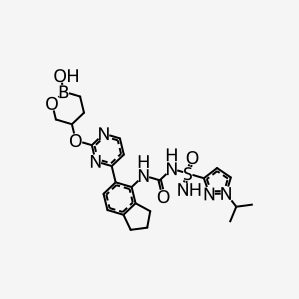 CC(C)n1ccc(S(=N)(=O)NC(=O)Nc2c(-c3ccnc(OC4CCB(O)OC4)n3)ccc3c2CCC3)n1